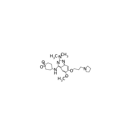 COc1cc2c(NC3CCS(=O)(=O)CC3)nc(N(C)C)nc2cc1OCCCN1CCCC1